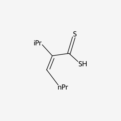 CCCC=C(C(=S)S)C(C)C